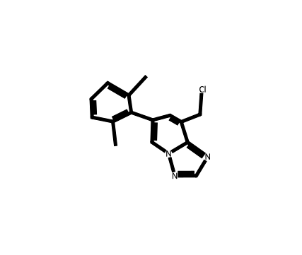 Cc1cccc(C)c1-c1cc(CCl)c2ncnn2c1